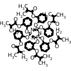 C=C(C)C(=O)Oc1ccccc1OP1(Oc2ccccc2OC(=O)C(=C)C)=NP(Oc2ccccc2OC(=O)C(=C)C)(Oc2ccccc2OC(=O)C(=C)C)=NP(Oc2ccccc2OC(=O)C(=C)C)(Oc2ccccc2OC(=O)C(=C)C)=N1